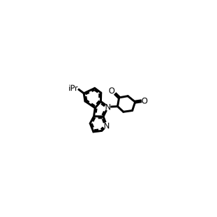 CC(C)c1ccc2c(c1)c1cccnc1n2C1CCC(=O)CC1=O